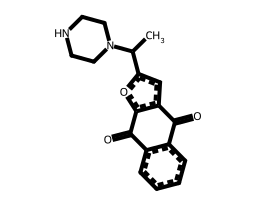 CC(c1cc2c(o1)C(=O)c1ccccc1C2=O)N1CCNCC1